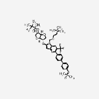 CC(C)(C)[Si](C)(C)O[C@@H]1CO[C@H]2[C@@H]1OC[C@H]2Oc1cc2nc(-c3ccc(-c4ccc(N=S(C)(C)=O)cc4)cc3)c(C(F)(F)F)cc2n1COCC[Si](C)(C)C